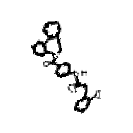 O=C(Cc1ccccc1Cl)Nc1ccc(C(=O)N2CCc3ccccc3-c3ccccc32)cc1